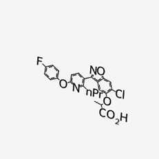 CCCc1nc(Oc2ccc(F)cc2)ccc1-c1noc2cc(Cl)c(OC(C)C(=O)O)cc12